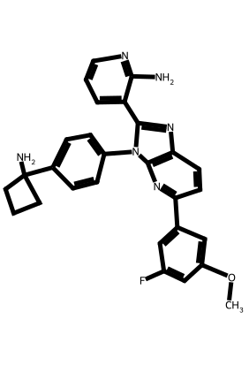 COc1cc(F)cc(-c2ccc3nc(-c4cccnc4N)n(-c4ccc(C5(N)CCC5)cc4)c3n2)c1